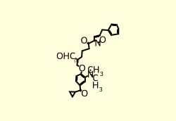 CN(C)c1cc(C(=O)C2CC2)ccc1OC[C@@H](C=O)CCCC(=O)c1cc(Cc2ccccc2)on1